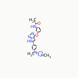 C=CC(=O)Nc1cccc(Oc2ncnc3[nH]c(-c4ccc(N(C)N5CCN(C)CC5)cc4)cc23)c1